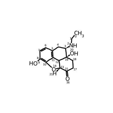 CCN[C@@H]1Cc2ccc(O)c3c2C2[C@@H](O3)C(=O)CC[C@]21O